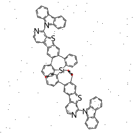 c1ccc2c(c1)-c1cc3sc4c(-n5c6ccccc6c6ccccc65)nccc4c3cc1-c1ccccc1[Si]21c2ccccc2-c2cc3sc4c(-n5c6ccccc6c6ccccc65)nccc4c3cc2-c2ccccc21